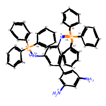 Nc1cc(N)cc(-c2cc(N=P(c3ccccc3)(c3ccccc3)c3ccccc3)cc(N[PH](c3ccccc3)(c3ccccc3)c3ccccc3)c2)c1